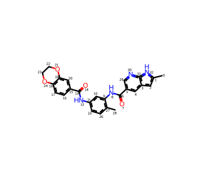 Cc1cc2cc(C(=O)Nc3cc(NC(=O)c4ccc5c(c4)OCCO5)ccc3C)cnc2[nH]1